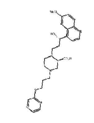 COc1ccc2nccc([C@@H](O)CC[C@@H]3CCN(CCCSc4cnccn4)C[C@@H]3C(=O)O)c2c1